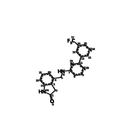 O=C1Cc2c(CNc3ccnc(-c4cncc(C(F)(F)F)c4)n3)cccc2N1